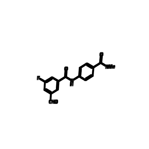 CNC(=O)c1ccc(NC(=O)c2cc(F)cc(C=O)c2)cc1